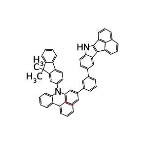 CC1(C)c2ccccc2-c2ccc(N(c3cccc(-c4cccc(-c5ccc6[nH]c7c(c6c5)-c5cccc6cccc-7c56)c4)c3)c3ccccc3-c3ccccc3)cc21